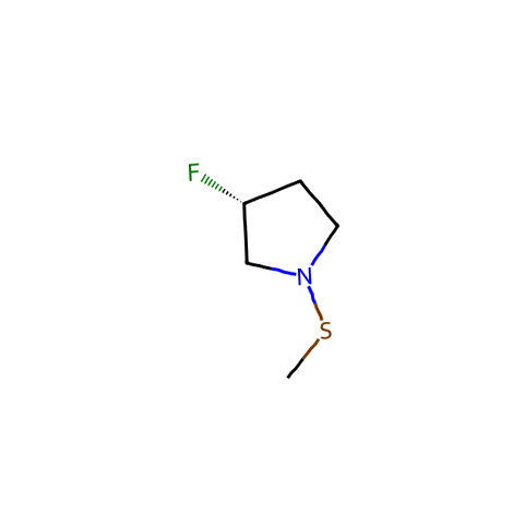 CSN1CC[C@@H](F)C1